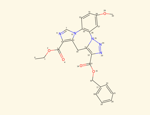 CCOC(=O)c1ncn2c1Cc1c(C(=O)OCc3ccccc3)nnn1-c1cc(OC)ccc1-2